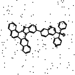 O=P(c1ccccc1)(c1ccncc1)c1cnc2cc(-c3ccc4nc5c6c7ccccc7ccc6c6cc7ccccc7cc6n5c4c3)ccc2c1